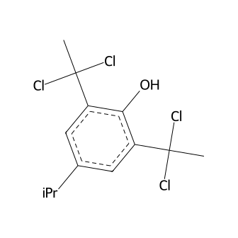 CC(C)c1cc(C(C)(Cl)Cl)c(O)c(C(C)(Cl)Cl)c1